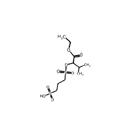 CCOC(=O)C(OS(=O)(=O)CCCS(=O)(=O)O)C(C)C